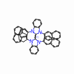 C1=C=c2ccccc2=CC=1N1/C(=C2\N(C3=Cc4ccccc4CC3)c3ccccc3N2c2ccc3ccccc3c2)N(c2ccc3ccccc3c2)c2ccccc21